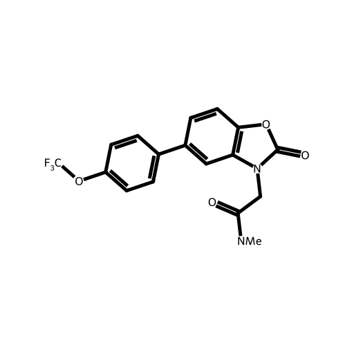 CNC(=O)Cn1c(=O)oc2ccc(-c3ccc(OC(F)(F)F)cc3)cc21